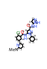 CNc1cccc(-c2ccc(Cl)c(C(=O)Nc3cc(C(=O)Nc4ccn[nH]4)nn3-c3ccccc3)c2)n1